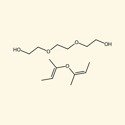 CC=C(C)OC(C)=CC.OCCOCCOCCO